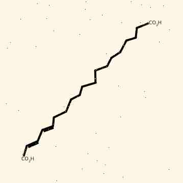 O=C(O)C=CC=CCCCCCCCCCCCCCC(=O)O